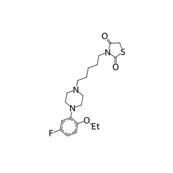 CCOc1ccc(F)cc1N1CCN(CCCCCN2C(=O)CSC2=O)CC1